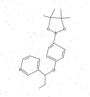 CCC(Oc1ccc(B2OC(C)(C)C(C)(C)O2)cc1)c1cccnc1